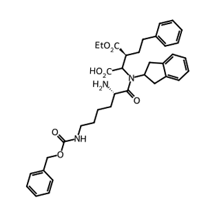 CCOC(=O)[C@@H](CCc1ccccc1)C(C(=O)O)N(C(=O)[C@@H](N)CCCCNC(=O)OCc1ccccc1)C1Cc2ccccc2C1